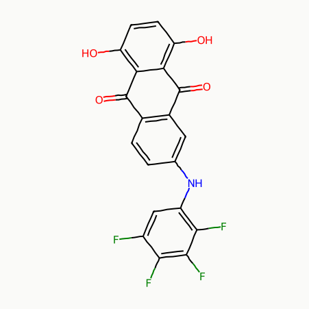 O=C1c2ccc(Nc3cc(F)c(F)c(F)c3F)cc2C(=O)c2c(O)ccc(O)c21